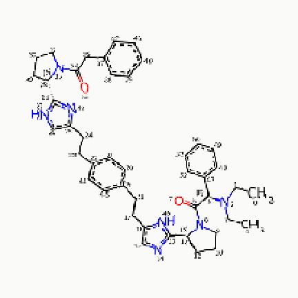 CCN(CC)[C@@H](C(=O)N1CCC[C@H]1c1ncc(CCc2ccc(CCc3c[nH]c([C@@H]4CCCN4C(=O)Cc4ccccc4)n3)cc2)[nH]1)c1ccccc1